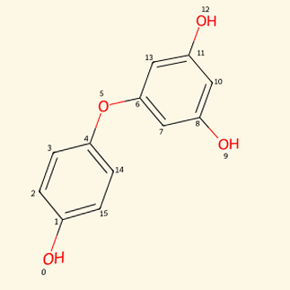 Oc1ccc(Oc2cc(O)cc(O)c2)cc1